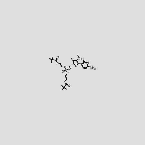 CO[C@@H]1[C@H](C)[C@@H](COP(=O)(OCCSC(=O)C(C)(C)C)OCCSC(=O)C(C)(C)C)O[C@H]1n1ccc(N)nc1=O